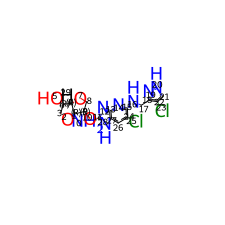 N[C@]12OC[C@@H](O)[C@H]1OC[C@H]2Oc1nc2nc(NCc3n[nH]cc3Cl)c(Cl)cc2[nH]1